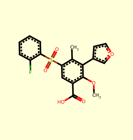 COc1c(C(=O)O)cc(S(=O)(=O)c2ccccc2F)c(C)c1-c1ccoc1